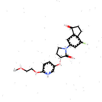 CCOCCOc1ccc(O[C@@H]2CCN(c3cc(F)c4c(c3)C(=O)CC4)C2=O)cn1